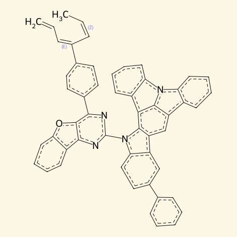 C=C/C=C(\C=C/C)c1ccc(-c2nc(-n3c4ccc(-c5ccccc5)cc4c4cc5c6ccccc6n6c7ccccc7c(c43)c56)nc3c2oc2ccccc23)cc1